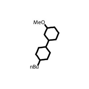 CCCCC1CCC(C2CCCC(OC)C2)CC1